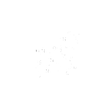 NC(=O)N(c1nccs1)c1ccccc1Sc1ccccn1